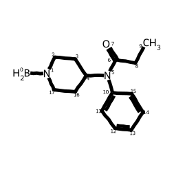 BN1CCC(N(C(=O)CC)c2ccccc2)CC1